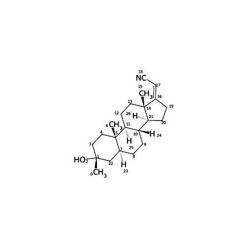 C[C@@]1(O)CC[C@@]2(C)[C@@H](CC[C@@H]3[C@@H]2CC[C@]2(C)/C(=C\C#N)CC[C@@H]32)C1